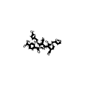 N#Cc1ccn(Cc2ccno2)c(=O)c1-c1nn(C(=O)c2ccc(C(N)=O)cc2)c(NCc2ccc(Cl)s2)c1C#N